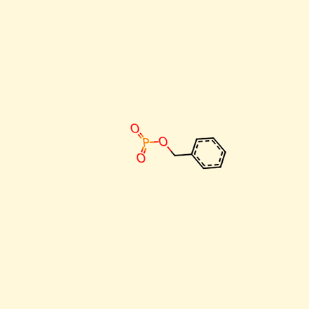 O=P(=O)OCc1ccccc1